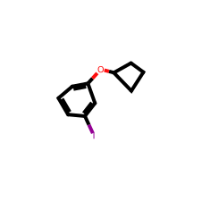 Ic1cccc(OC2CCC2)c1